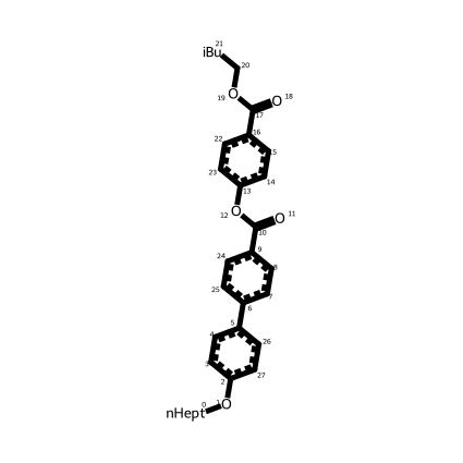 CCCCCCCOc1ccc(-c2ccc(C(=O)Oc3ccc(C(=O)OCC(C)CC)cc3)cc2)cc1